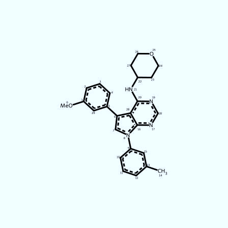 COc1cccc(-c2cn(-c3cccc(C)c3)c3ncnc(NC4CCOCC4)c23)c1